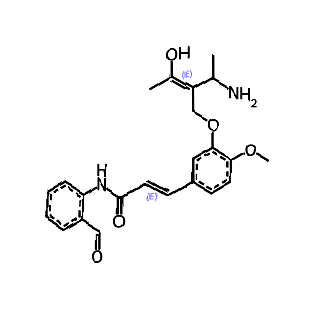 COc1ccc(/C=C/C(=O)Nc2ccccc2C=O)cc1OC/C(=C(\C)O)C(C)N